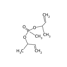 C=CC(C)OP(C)(=O)OC(C)C=C